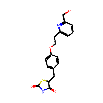 O=C1NC(=O)C(Cc2ccc(OCCc3cccc(CO)n3)cc2)S1